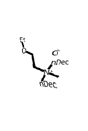 CCCCCCCCCC[N+](C)(CCCCCCCCCC)CCOCC.[Cl-]